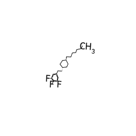 CCCCCCC[C@H]1CC[C@H](CCc2cc(F)c(F)c(F)c2)CC1